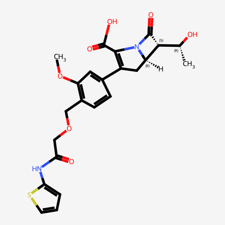 COc1cc(C2=C(C(=O)O)N3C(=O)[C@H]([C@@H](C)O)[C@H]3C2)ccc1COCC(=O)Nc1cccs1